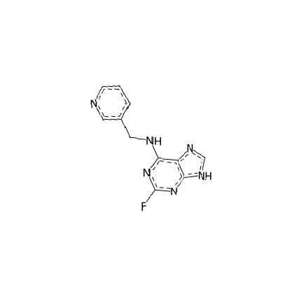 Fc1nc(NCc2cccnc2)c2nc[nH]c2n1